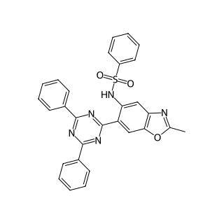 Cc1nc2cc(NS(=O)(=O)c3ccccc3)c(-c3nc(-c4ccccc4)nc(-c4ccccc4)n3)cc2o1